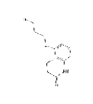 O=C1CCc2c(cccc2OCCCCl)N1